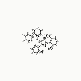 CCc1cccc(CC)c1-c1nc(-c2ccccc2F)c(CN2CCCCC2c2ccccc2)n1CC